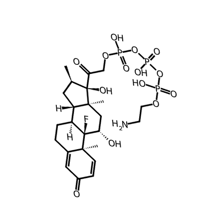 C[C@@H]1C[C@H]2[C@@H]3CCC4=CC(=O)C=C[C@]4(C)[C@@]3(F)[C@@H](O)C[C@]2(C)[C@@]1(O)C(=O)COP(=O)(O)OP(=O)(O)OP(=O)(O)OCCN